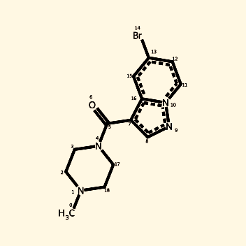 CN1CCN(C(=O)c2cnn3ccc(Br)cc23)CC1